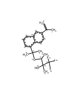 C=C(C)c1ccc2c(C(C)(C)OC(C)C(C)(O)C(F)(F)F)cccc2c1